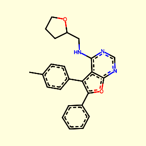 Cc1ccc(-c2c(-c3ccccc3)oc3ncnc(NCC4CCCO4)c23)cc1